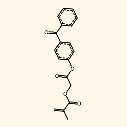 C=C(C)C(=O)OCC(=O)Oc1ccc(C(=O)c2ccccc2)cc1